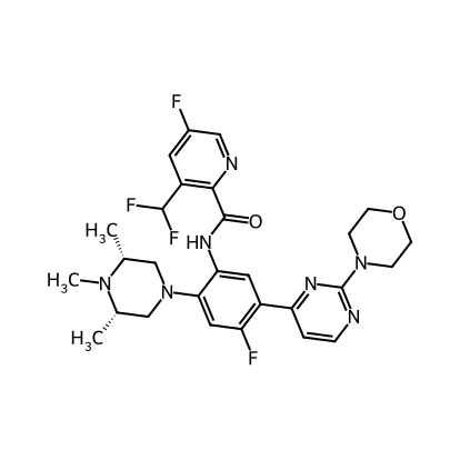 C[C@@H]1CN(c2cc(F)c(-c3ccnc(N4CCOCC4)n3)cc2NC(=O)c2ncc(F)cc2C(F)F)C[C@H](C)N1C